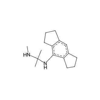 CNC(C)(C)Nc1c2c(cc3c1CCC3)CCC2